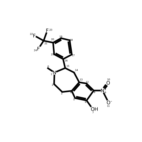 CN1CCc2cc(O)c([N+](=O)[O-])cc2CC1c1cccc(C(F)(F)F)c1